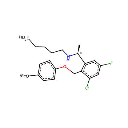 COc1ccc(OCc2c(Cl)cc(F)cc2[C@H](C)NCCCCC(=O)O)cc1